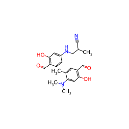 CC(C#N)CNc1ccc(C=O)c(O)c1.Cc1cc(C=O)c(O)cc1N(C)C